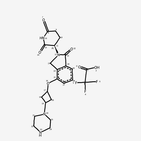 O=C(O)C(F)(F)F.O=C1CC[C@@H](N2Cc3c(OC4CC(N5CCNCC5)C4)cccc3C2=O)C(=O)N1